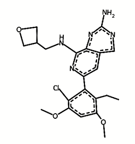 CCc1c(OC)cc(OC)c(Cl)c1-c1cc2cnc(N)nc2c(NCC2COC2)n1